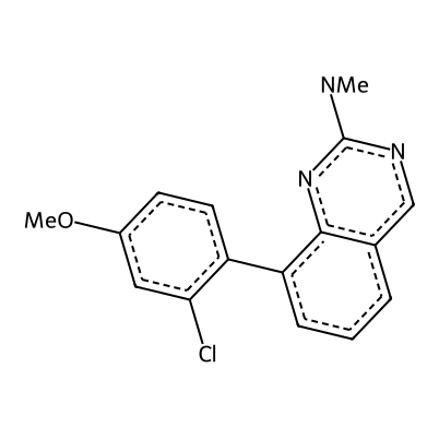 CNc1ncc2cccc(-c3ccc(OC)cc3Cl)c2n1